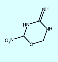 N=C1NCOC([N+](=O)[O-])N1